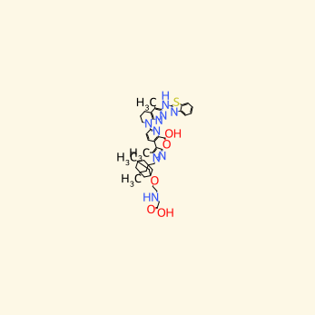 Cc1c(Nc2nc3ccccc3s2)nnc2c1CCCN2c1ccc(-c2cnn(CC34CC5(C)CC(C)(C3)CC(OCCNCC(=O)O)(C5)C4)c2C)c(C(=O)O)n1